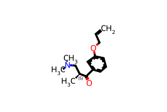 C=CCOc1cccc(C(=O)[C@@H](C)CN(C)C)c1